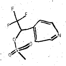 CS(=O)(=O)OC(c1ccncc1)C(F)(F)F